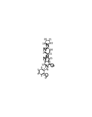 COc1ccccc1CN1Cc2nn(-c3ccc(N4CCCC4)nc3)cc2C1=O